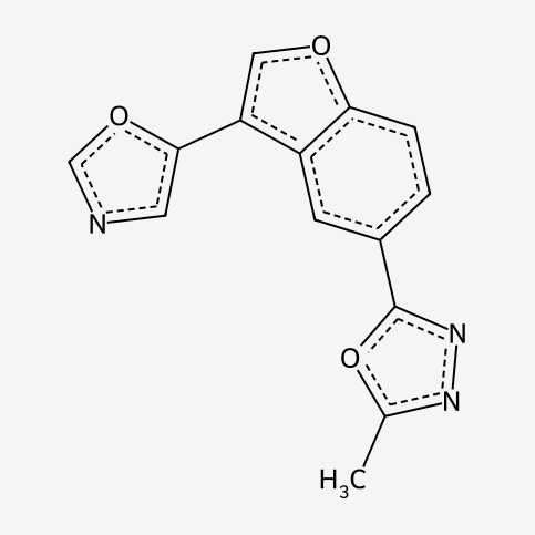 Cc1nnc(-c2ccc3occ(-c4cnco4)c3c2)o1